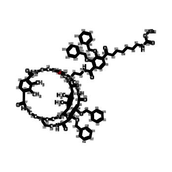 Cc1c2ccc(c1C)C(=O)NCCN1CCNC(=O)c3ccc(c(C)c3C)C(=O)NCCN(CCNC2=O)CCNC(=O)c2ccc(c(OCc3ccccc3)c2OCc2ccccc2)C(=O)NCCN(CCNC(=O)c2ccc(C(=O)CCCCCCNC(=O)OC(C)(C)C)c(OCc3ccccc3)c2OCc2ccccc2)CC1